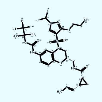 CN=C[C@H]1C[C@H]1C(=O)NC[C@H]1CN(S(=O)(=O)c2cn(C(F)F)nc2OCCO)c2cc(NC(=O)OC(C)(C)C(F)(F)F)ccc2O1